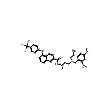 COc1ccc(CN(CCO)CC[C@@H](C)NC(=O)c2ccc3c(Oc4ccc(C(F)(F)F)cc4)cccc3c2)c(OC)c1